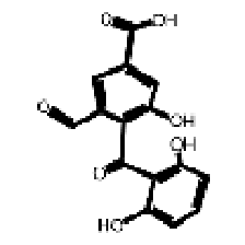 O=Cc1cc(C(=O)O)cc(O)c1C(=O)c1c(O)cccc1O